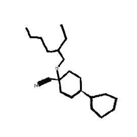 CCCCC(CC)CO[C@]1(C#N)CC[C@@H](C2CCCCC2)CC1